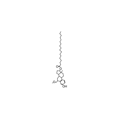 CCCCCCCCCCCCCCCCCC(=O)OC1CCC2C3CC(COC)c4cc(O)ccc4C3CCC12C